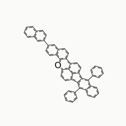 c1ccc(-c2c3ccccc3c(-c3ccccc3)c3c4ccc5c6ccc7cc(-c8ccc9ccccc9c8)ccc7c6oc6ccc(c23)c4c65)cc1